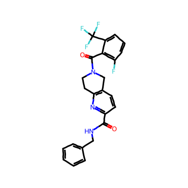 O=C(NCc1ccccc1)c1ccc2c(n1)CCN(C(=O)c1c(F)cccc1C(F)(F)F)C2